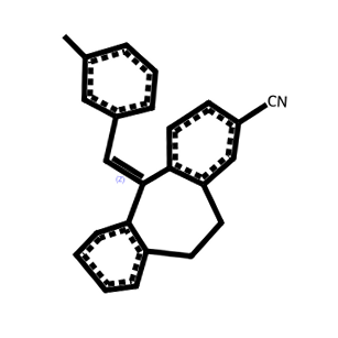 Cc1cccc(/C=C2/c3ccccc3CCc3cc(C#N)ccc32)c1